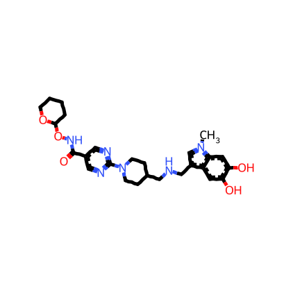 Cn1cc(CNCC2CCN(c3ncc(C(=O)NOC4CCCCO4)cn3)CC2)c2cc(O)c(O)cc21